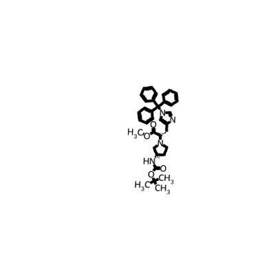 COC(=O)[C@H](Cc1cn(C(c2ccccc2)(c2ccccc2)c2ccccc2)cn1)N1CC[C@H](NC(=O)OC(C)(C)C)C1